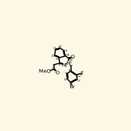 COC(=O)Cc1nn(Cc2ccc(Br)cc2F)c(=O)c2ccccc12